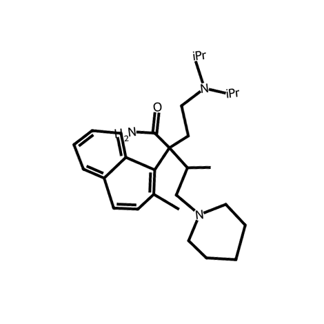 Cc1ccc2ccccc2c1C(CCN(C(C)C)C(C)C)(C(N)=O)C(C)CN1CCCCC1